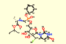 CC(C)OC(=O)[C@H](C)/N=C/P(=O)(OC[C@H]1O[C@@H](n2ccc(=O)[nH]c2=O)[C@@](O)(CF)[C@@H]1O)Oc1ccccc1